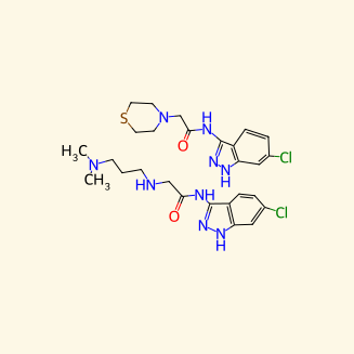 CN(C)CCCNCC(=O)Nc1n[nH]c2cc(Cl)ccc12.O=C(CN1CCSCC1)Nc1n[nH]c2cc(Cl)ccc12